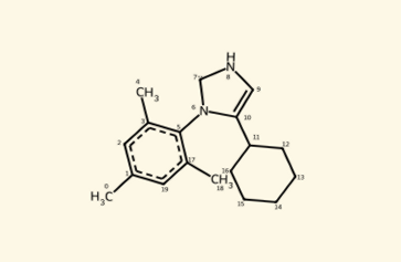 Cc1cc(C)c(N2[C]NC=C2C2CCCCC2)c(C)c1